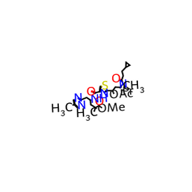 COC(=O)C(C)CC(Cc1ncc(C)cn1)NC(=O)c1csc(C(CC(C(C)C)N(C)C(=O)CCC2CC2)OC(C)=O)n1